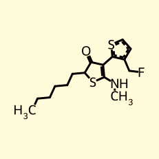 CCCCCCC1SC(NC)=C(c2sccc2CF)C1=O